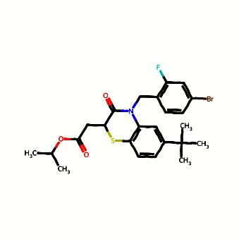 CC(C)OC(=O)CC1Sc2ccc(C(C)(C)C)cc2N(Cc2ccc(Br)cc2F)C1=O